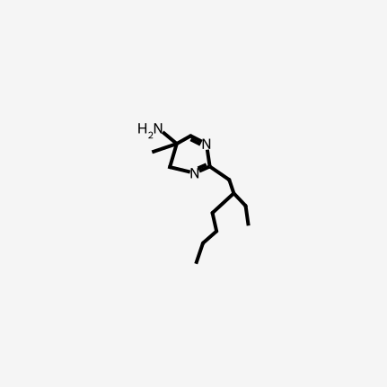 CCCCC(CC)CC1=NCC(C)(N)C=N1